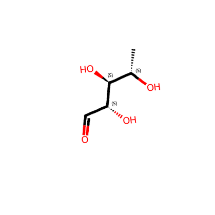 C[C@H](O)[C@H](O)[C@H](O)C=O